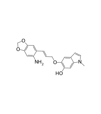 Cn1ccc2cc(OC/C=C/c3cc4c(cc3N)OCO4)c(O)cc21